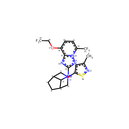 Cc1cc(N2CC3CCC(C2)C3Nc2nc3c(OCC(F)(F)F)ccc(C(F)(F)F)n3n2)sn1